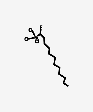 CCCCCCCCCCCC(F)[Si](Cl)(Cl)Cl